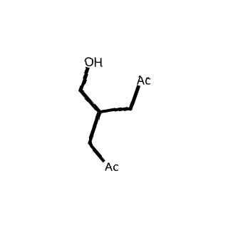 CC(=O)CC(CO)CC(C)=O